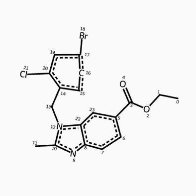 CCOC(=O)c1ccc2nc(C)n(Cc3ccc(Br)cc3Cl)c2c1